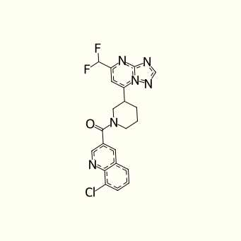 O=C(c1cnc2c(Cl)cccc2c1)N1CCCC(c2cc(C(F)F)nc3ncnn23)C1